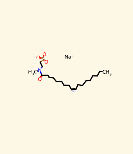 CCCCCCCC/C=C\CCCCCCCC(=O)N(C)CCS(=O)(=O)[O-].[Na+]